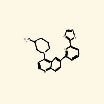 NC1CCCN(c2ccnc3ccc(-c4cccc(-c5nccs5)n4)cc23)C1